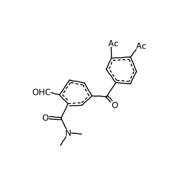 CC(=O)c1ccc(C(=O)c2ccc(C=O)c(C(=O)N(C)C)c2)cc1C(C)=O